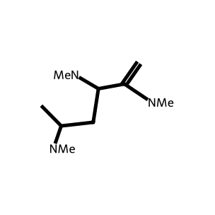 C=C(NC)C(CC(C)NC)NC